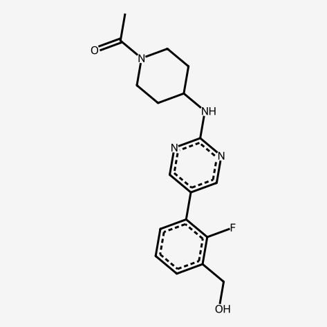 CC(=O)N1CCC(Nc2ncc(-c3cccc(CO)c3F)cn2)CC1